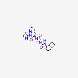 O=C(Nc1nccs1)[C@H](CC1CCCCC1)N1CCN(C(=O)Nc2cccc3ccccc23)CC1=O